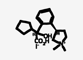 C[N+]1(C)CC[C@H](c2ccccc2[C@@](O)(C(=O)O)C2CCCC2)C1.[I-]